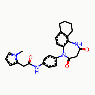 Cn1cccc1CC(=O)Nc1ccc(N2C(=O)CC(=O)Nc3c2ccc2c3CCCC2)cc1